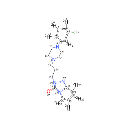 [2H]c1c([2H])c(Cl)c([2H])c(N2CCN(CCCn3nc4c([2H])c([2H])c([2H])c([2H])n4c3=O)CC2)c1[2H]